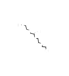 OCCOCCSC(O)CSCCO